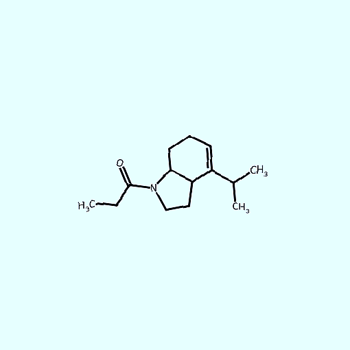 CCC(=O)N1CCC2C(C(C)C)=CCCC21